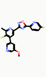 COc1cncc(-c2cc(-c3noc(-c4ccc(F)cn4)n3)nc(C)c2F)c1